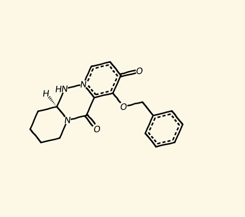 O=C1c2c(OCc3ccccc3)c(=O)ccn2N[C@@H]2CCCCN12